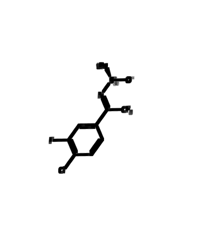 CC(C)(C)[S@@+]([O-])N=C(c1ccc(Cl)c(F)c1)C(F)(F)F